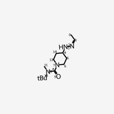 C/C=N\NC1CCN(C(=O)N(C)C(C)(C)C)CC1